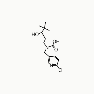 CC(C)(C)C(O)CCN(Cc1ccc(Cl)nc1)C(=O)O